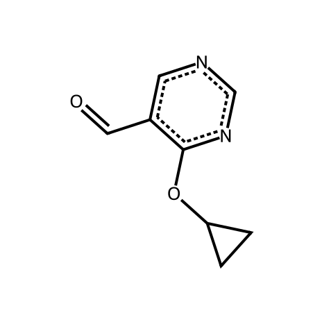 O=Cc1cncnc1OC1CC1